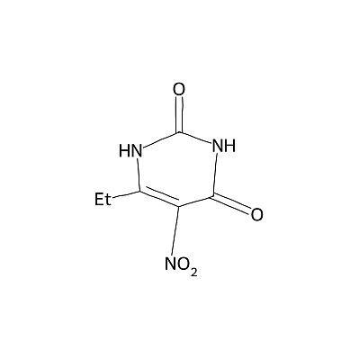 CCc1[nH]c(=O)[nH]c(=O)c1[N+](=O)[O-]